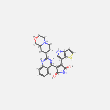 O=C1NC(=O)C(c2c[nH]c3ccsc23)=C1c1nc(C2CCN3CCOCC3C2)nc2ccccc12